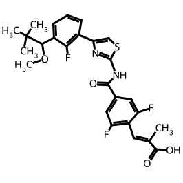 COC(c1cccc(-c2csc(NC(=O)c3cc(F)c(C=C(C)C(=O)O)c(F)c3)n2)c1F)C(C)(C)C